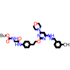 Cc1cccc(/C=N/Nc2cc(N3CCOCC3)nc(OCCc3ccc(NC(=O)CNC(=O)OC(C)(C)C)cc3)n2)c1